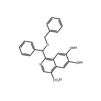 CCOC(=O)c1cnc(C(OCc2ccccc2)c2ccccc2)c2cc(OC)c(OC)cc12